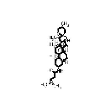 C[C@H]1CC[C@@]2(OC1)O[C@H]1C[C@@]3(C)[C@@H]4CC[C@@H]5C[C@@H](NC(=O)CCN(C)C)CC[C@]5(C)[C@@]4(C)CC[C@]3(C)[C@H]1[C@@H]2C